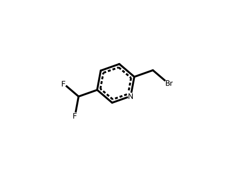 FC(F)c1ccc(CBr)nc1